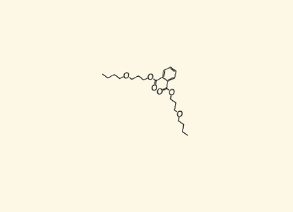 CCCCOCCCOC(=O)c1ccccc1C(=O)OCCCOCCCC